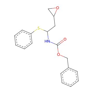 O=C(NC(CC1CO1)Sc1ccccc1)OCc1ccccc1